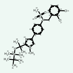 Cn1cc(-c2ccc(N(Cc3cccc(Cl)c3Cl)S(C)(=O)=O)cc2)nc1C(C)(C)O[Si](C)(C)C(C)(C)C